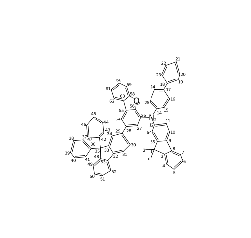 CC1(C)c2ccccc2-c2ccc(N(c3ccc(-c4ccccc4)cc3)c3cc(-c4ccc5c(c4)C(c4ccccc4)(c4ccccc4)c4ccccc4-5)cc4c3oc3ccccc34)cc21